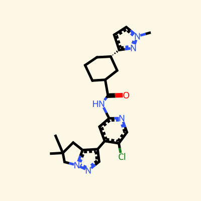 Cn1ccc([C@H]2CCCC(C(=O)Nc3cc(-c4cnn5c4CC(C)(C)C5)c(Cl)cn3)C2)n1